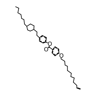 C=CCCCCCCCCCCOc1ccc(C(=O)Oc2ccc(CCC3CCC(CCCCCCC)CC3)cc2)cc1